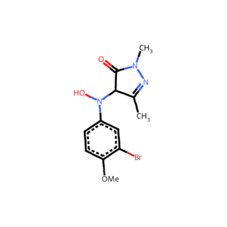 COc1ccc(N(O)C2C(=O)N(C)N=C2C)cc1Br